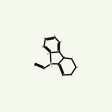 C=CN1C2=CCCCC2c2ccccc21